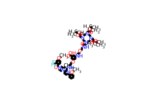 CCOc1ccc(C(=O)N2CCN(c3ccc(-c4ccccc4OCC)nc3CNCCCOc3cc(NCCOCCNC(=O)CN4CCN(CC(=O)OC(C)(C)C)CCN(CC(=O)OC(C)(C)C)CCN(CC(=O)OC(C)(C)C)CC4)cc(C(=O)O)c3)C(CC)C2)c(C(F)(F)F)c1